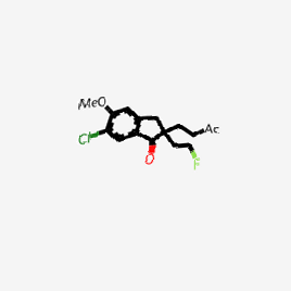 COc1cc2c(cc1Cl)C(=O)C(CCF)(CCC(C)=O)C2